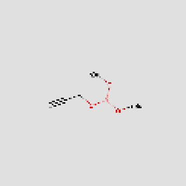 C#CCOB(OCCCC)OCCCC